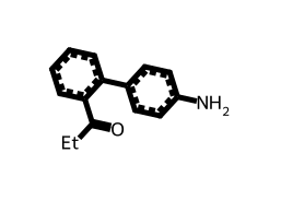 CCC(=O)c1ccccc1-c1ccc(N)cc1